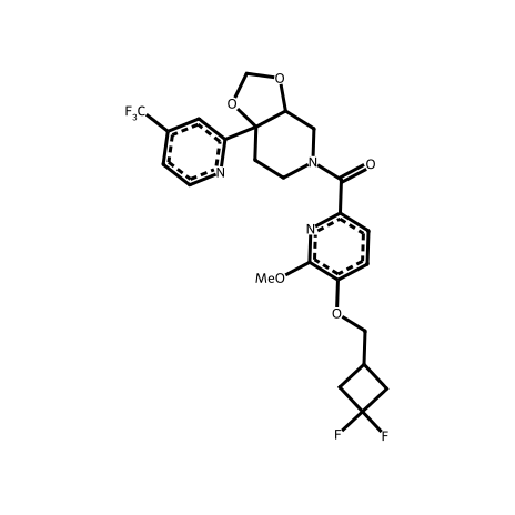 COc1nc(C(=O)N2CCC3(c4cc(C(F)(F)F)ccn4)OCOC3C2)ccc1OCC1CC(F)(F)C1